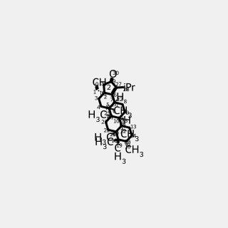 C=C[C@@]12CC[C@]3(C)[C@H](CC[C@@H]4[C@@]5(C)CC[C@H](C)C(C)(C)[C@]5(C)CC[C@]43C)C1=C(C(C)C)C(=O)C2